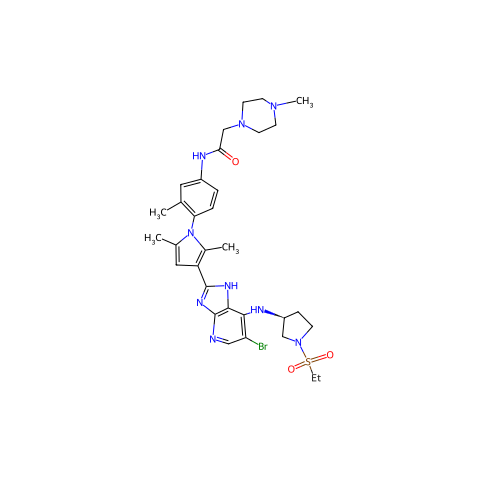 CCS(=O)(=O)N1CC[C@H](Nc2c(Br)cnc3nc(-c4cc(C)n(-c5ccc(NC(=O)CN6CCN(C)CC6)cc5C)c4C)[nH]c23)C1